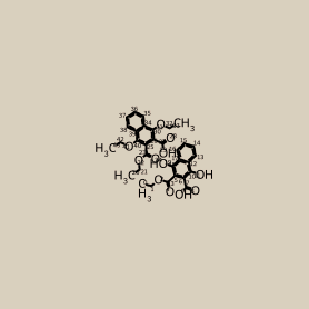 CCOC(=O)c1c(C(=O)O)c(O)c2ccccc2c1O.CCOC(=O)c1c(C(=O)O)c(OCC)c2ccccc2c1OCC